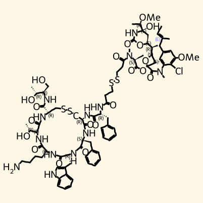 C/C=C(\C)Cc1cc(OC)c(Cl)c(N(C)C(=O)C2(OC(=O)[C@H](C)N(C)C(=O)CCSSCCC(=O)N[C@H](Cc3ccccc3)C(=O)N[C@H]3CSSC[C@@H](C(=O)N[C@H](CO)[C@@H](C)O)NC(=O)[C@H]([C@@H](C)O)NC(=O)[C@H](CCCCN)NC(=O)[C@@H](Cc4c[nH]c5ccccc45)NC(=O)[C@H](Cc4ccccc4)NC3=O)O[C@@H]([C@H](C)[C@@H]3C[C@](O)([C@@H](C)OC)NC(=O)O3)[C@@H]2C)c1